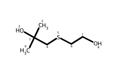 CC(C)(O)CSCCO